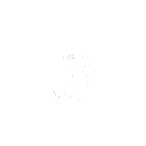 COc1ccc(Oc2c(Cl)cc([N+](=O)[O-])cc2Cl)cc1S(=O)(=O)NC1CCC1